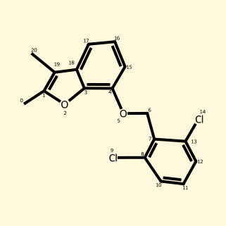 Cc1oc2c(OCc3c(Cl)cccc3Cl)cccc2c1C